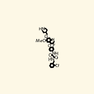 COc1cc2c(Oc3ccc(NC(=O)C(=O)NCc4ccccc4Cl)cc3F)ccnc2cc1OCC1CCNCC1